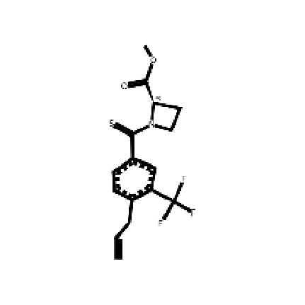 C=CCc1ccc(C(=S)N2CC[C@@H]2C(=O)OC)cc1C(F)(F)F